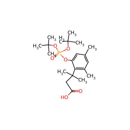 Cc1cc(C)c(C(C)(C)CC(=O)O)c(OP(=O)(OC(C)(C)C)OC(C)(C)C)c1